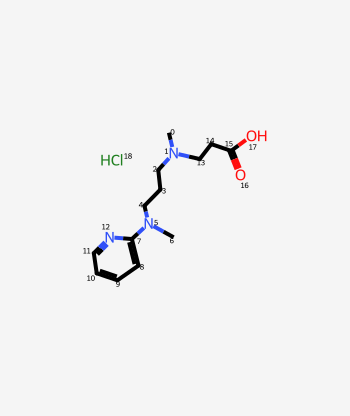 CN(CCCN(C)c1ccccn1)CCC(=O)O.Cl